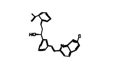 C=C(C)c1ccccc1CC[C@H](O)c1cccc(C=Cc2ccc3ccc(Cl)cc3n2)c1